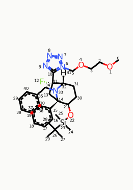 COCCOCn1nnnc1[C@]1(F)C[C@@]2(c3ccccc3)[C@H](O[Si](C)(C)C(C)(C)C)CC[C@@H]1N2Cc1ccccc1